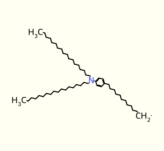 [CH2]CCCCCCCCCCCc1ccc(N(CCCCCCCCCCCCCCCCCC)CCCCCCCCCCCCCCCCCC)cc1